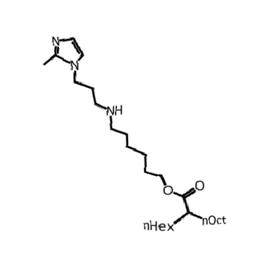 CCCCCCCCC(CCCCCC)C(=O)OCCCCCCNCCCn1ccnc1C